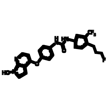 O=C(Nc1ccc(Oc2ccnc3c2ccn3O)cc1)Nc1ccc(CCCF)c(C(F)(F)F)c1